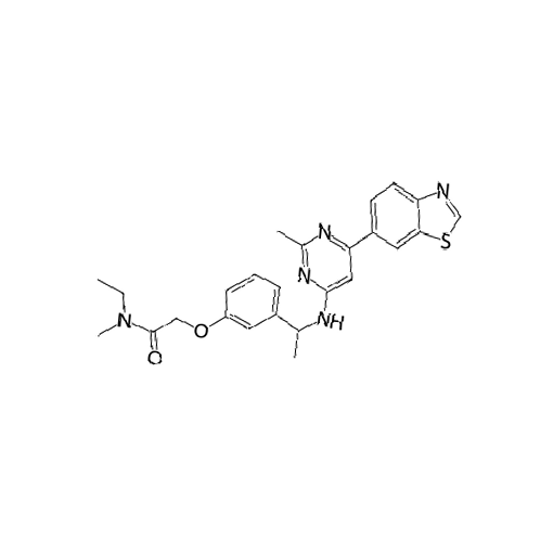 CCN(C)C(=O)COc1cccc(C(C)Nc2cc(-c3ccc4ncsc4c3)nc(C)n2)c1